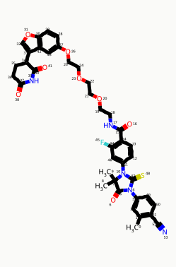 Cc1cc(N2C(=O)C(C)(C)N(c3ccc(C(=O)NCCOCCOCCOc4ccc5occ(C6CCC(=O)NC6=O)c5c4)c(F)c3)C2=S)ccc1C#N